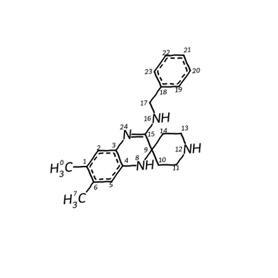 Cc1cc2c(cc1C)NC1(CCNCC1)C(NCc1ccccc1)=N2